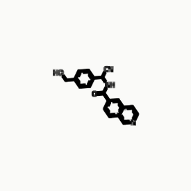 N#CC(NC(=O)c1ccc2cnccc2c1)c1ccc(CO)cc1